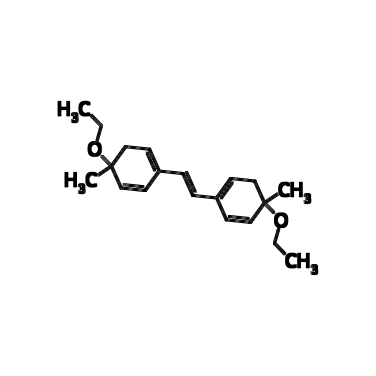 CCOC1(C)C=CC(C=CC2=CCC(C)(OCC)C=C2)=CC1